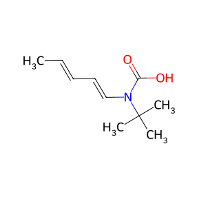 C/C=C/C=CN(C(=O)O)C(C)(C)C